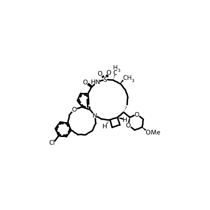 CO[C@H]1CO[C@@H]([C@H]2CCC[C@H](C)[C@@H](C)S(=O)(=O)NC(=O)c3ccc4c(c3)N(CCCCc3cc(Cl)ccc3CO4)C[C@@H]3CC[C@H]32)OC1